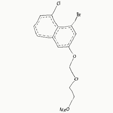 COCCOCOc1cc(Br)c2c(Cl)cccc2c1